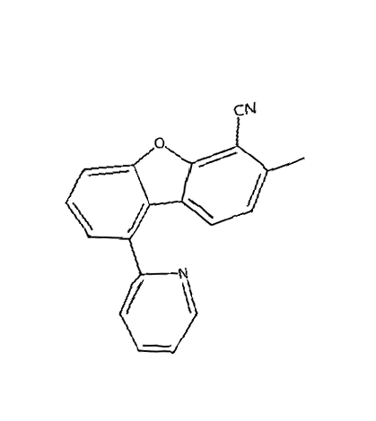 Cc1ccc2c(oc3cccc(-c4ccccn4)c32)c1C#N